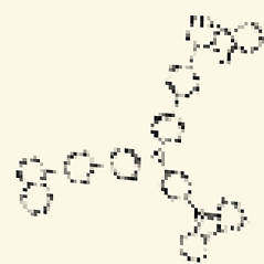 c1ccc2c(-c3ccc(-c4ccc(N(c5ccc(-c6ccc(-c7cccc8c7oc7ccccc78)cc6)cc5)c5ccc(-n6c7ccccc7c7ccccc76)cc5)cc4)cc3)cccc2c1